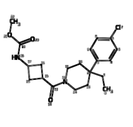 CCC1(c2ccc(Cl)cc2)CCN(C(=O)C2CC(NC(=O)OC)C2)CC1